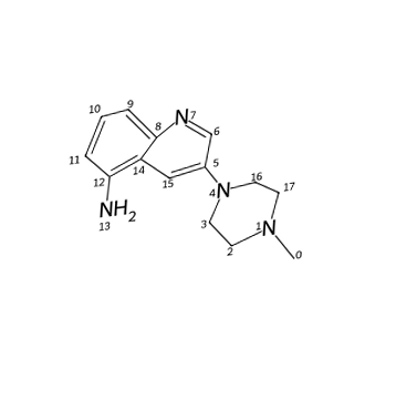 CN1CCN(c2cnc3cccc(N)c3c2)CC1